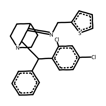 Clc1ccc(C(c2ccccc2)C2/C(=N/Cc3cccs3)C3CCN2CC3)c(Cl)c1